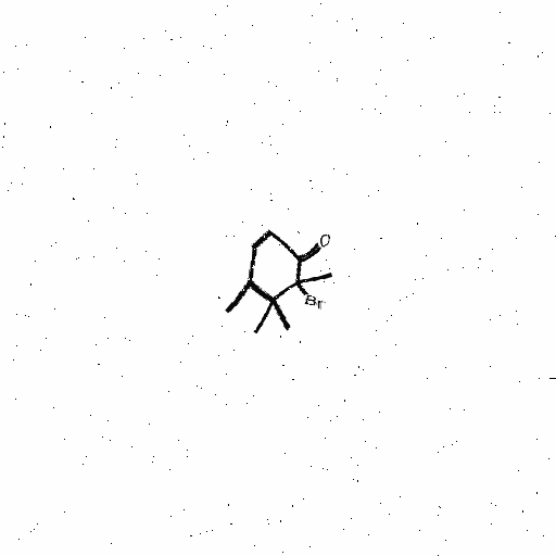 CC1CCC(=O)C(C)(Br)C1(C)C